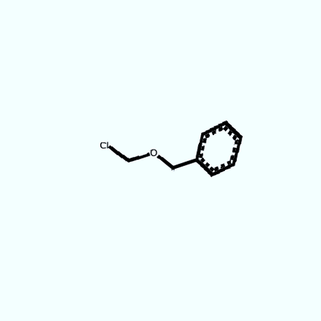 ClCO[C]c1ccccc1